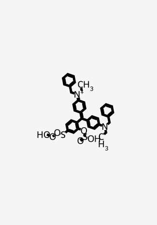 CCN(Cc1ccccc1)c1ccc(C(=C2C=CC(=[N+](CC)Cc3ccccc3)C=C2)c2ccc(SOOO)cc2OS(=O)O)cc1